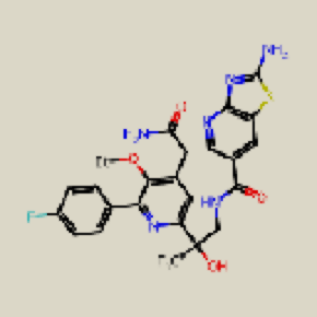 CCOc1c(CC(N)=O)cc([C@@](O)(CNC(=O)c2cnc3nc(N)sc3c2)C(F)(F)F)nc1-c1ccc(F)cc1